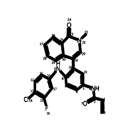 C=CC(=O)Nc1ccc(Nc2ccc(Cl)c(F)c2)c(-c2cn(C)c(=O)c3ccccc23)c1